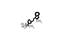 CC1=Cc2ccccc2C1CCC1=CC([Si](C)(C)C)=CC1